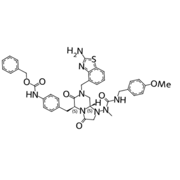 COc1ccc(CNC(=O)N(C)N2CC(=O)N3[C@@H](Cc4ccc(NC(=O)OCc5ccccc5)cc4)C(=O)N(Cc4cccc5sc(N)nc45)C[C@@H]32)cc1